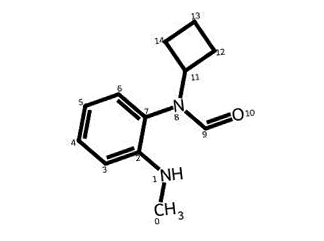 CNc1ccccc1N(C=O)C1CCC1